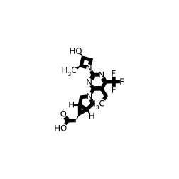 CCc1c(N2C[C@@H]3[C@H](CC(=O)O)[C@@H]3C2)nc(N2C[C@@H](O)[C@@H]2C)nc1C(F)(F)F